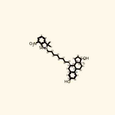 CC1(C)c2cccc([N+](=O)[O-])c2[Se]N1CCCCCCCC[C@@H]1Cc2cc(O)ccc2C2CC[C@@]3(C)C(CC[C@@H]3O)C21